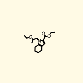 CCOC(=O)c1cc2c(n1CC(C)OCC)CCCC2